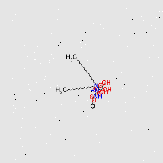 CCCCCCCCCCCCCCCCCCN(C(=O)CCCCCCCCCCCCCCC)[C@@H]1O[C@H](CO)[C@@H](O)[C@H](O)[C@H]1NC(=O)CNC(=O)OCc1ccccc1